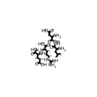 CC(C)CC(N)C(=O)O.N=C(N)NCCCC(N)C(=O)O.NC(CC(=O)O)C(=O)O.NC(CCC(=O)O)C(=O)O